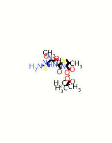 CO/N=C(/C(=O)N[C@@H]1C(=O)N2C(C(=O)OCOC(=O)C(C)(C)C)=C(C)CS[C@H]12)c1csc(N)n1